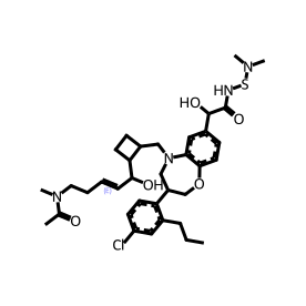 CCCc1cc(Cl)ccc1C1COc2ccc(C(O)C(=O)NSN(C)C)cc2N(CC2CCC2C(O)/C=C/CCN(C)C(C)=O)C1